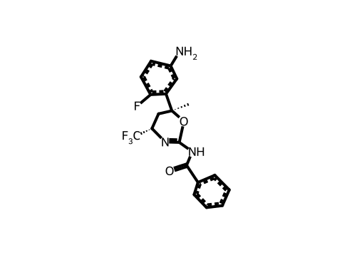 C[C@@]1(c2cc(N)ccc2F)C[C@@H](C(F)(F)F)N=C(NC(=O)c2ccccc2)O1